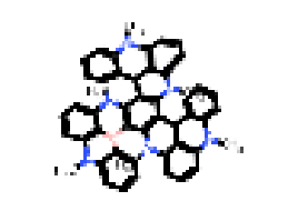 CN1c2ccccc2B2c3c1cccc3N(C)c1c2c2c(c3c1C1c4ccccc4N(C)c4cccc(c41)N3C)C1c3ccccc3N(C)c3cccc(c31)N2C